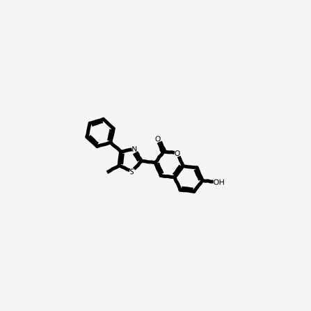 Cc1sc(-c2cc3ccc(O)cc3oc2=O)nc1-c1ccccc1